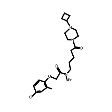 CCCN(CCCCC(=O)N1CCN(C2CCC2)CC1)C(=O)COc1ccc(Cl)cc1C